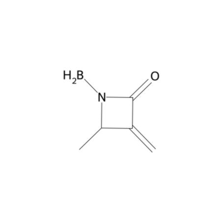 BN1C(=O)C(=C)C1C